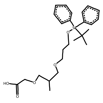 CC(COCCCO[Si](c1ccccc1)(c1ccccc1)C(C)(C)C)COCC(=O)O